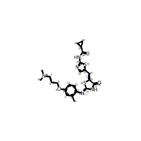 Cc1cc(OCCCN(C)C)ccc1/N=C1/NC(=O)/C(=C/c2cnc(NC(=O)C3CC3)s2)S1